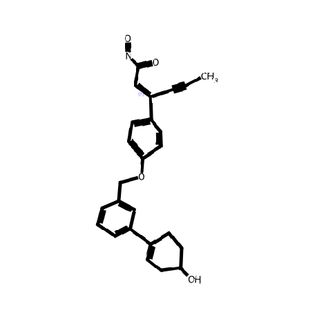 CC#C/C(=C\C(=O)N=O)c1ccc(OCc2cccc(C3=CCC(O)CC3)c2)cc1